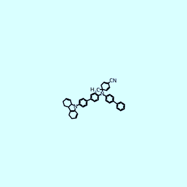 CC1(N(c2ccc(-c3ccccc3)cc2)c2ccc(-c3ccc(N4C5=C(CCC=C5)C5CCC=CC54)cc3)cc2)C=CC(C#N)=CC1